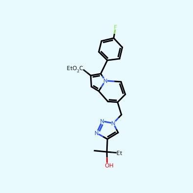 CCOC(=O)c1cc2cc(Cn3cc(C(C)(O)CC)nn3)ccn2c1-c1ccc(F)cc1